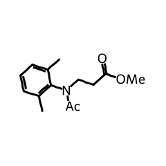 COC(=O)CCN(C(C)=O)c1c(C)cccc1C